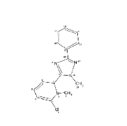 CN1C(Cl)=CC=CC1c1nc(-c2ccccc2)nn1C